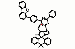 C/C=C\C1=C(C)C2(c3ccccc3C(C)(C)c3ccccc32)c2cccc(-c3nc(-c4ccccc4)nc(-c4ccc(-c5cccc6c5oc5ccccc56)cc4)n3)c21